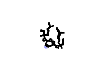 C=CC(C)(CCC=C(C)C)OC(=O)/C=C\C(=O)OC(C)(C=C)CCC=C(C)C